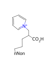 CCCCCCCCCCCCC(C[n+]1ccccc1)C(=O)O